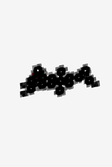 [C-]#[N+]c1ccc(N2c3ccc(-c4ccc5c6c(-c7ccccc7)c7c8ccc(-c9ccc%10c(c9)C9(C)CCCCC9(C)N%10c9ccc(C#N)cc9)c9c(-c%10ccc%11c(c%10)C%10(C)CCCCC%10(C)N%11c%10ccc(C#N)cc%10)ccc(c7c(-c7ccccc7)c6c6cccc4c65)c98)cc3C3(C)CCCCC23C)cc1